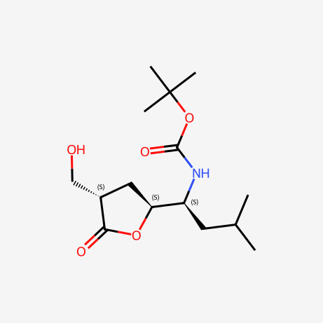 CC(C)C[C@H](NC(=O)OC(C)(C)C)[C@@H]1C[C@@H](CO)C(=O)O1